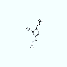 C=CCc1ccc(SCC2CC2)cc1C